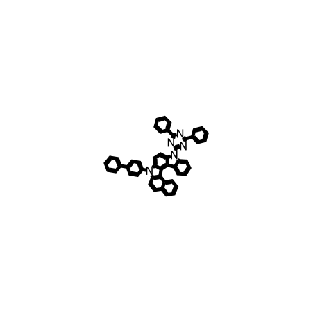 c1ccc(-c2ccc(-n3c4ccc5ccccc5c4c4c5c6ccccc6n(-c6nc(-c7ccccc7)nc(-c7ccccc7)n6)c5ccc43)cc2)cc1